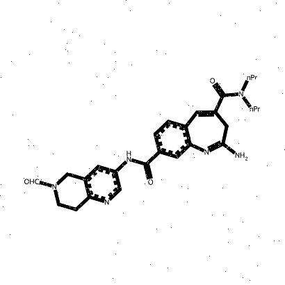 CCCN(CCC)C(=O)C1=Cc2ccc(C(=O)Nc3cnc4c(c3)CN(C=O)CC4)cc2N=C(N)C1